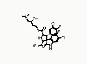 CN(C)C[C@@H](O)CCNC(=O)[C@@H]1N[C@H](CC(C)(C)C)[C@]2(C(=O)Nc3cc(Cl)c(F)cc32)[C@H]1c1ccc(F)c(Cl)c1